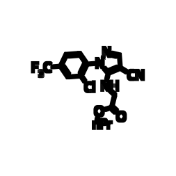 CCCOC(=O)CNc1c(C#N)cnn1-c1ccc(C(F)(F)F)cc1Cl